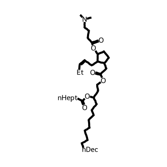 CC/C=C\CC1C(CC(=O)OCCC(CCCCCCCCCCCCCCCCCC)OC(=O)CCCCCCC)CCC1OC(=O)CCCN(C)C